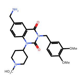 COc1ccc(Cn2c(=O)c3cc(CN)ccc3n(C3CCN(C(=O)O)CC3)c2=O)cc1OC